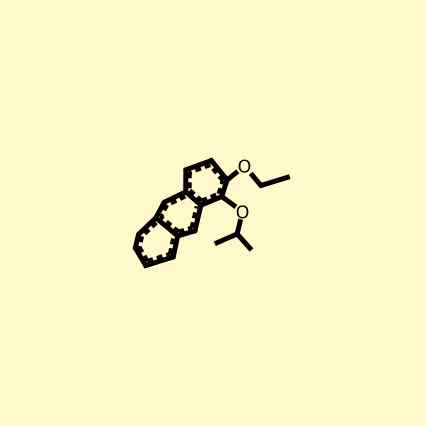 CCOc1ccc2cc3ccccc3cc2c1OC(C)C